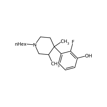 CCCCCCN1CCC(C)(c2cccc(O)c2F)C(C)C1